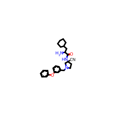 N#CC1(NC(=O)C(N)CC2CCCCC2)CCN(Cc2cccc(Oc3ccccc3)c2)C1